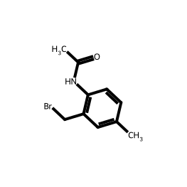 CC(=O)Nc1ccc(C)cc1CBr